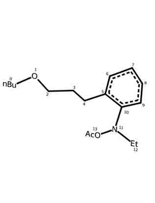 CCCCOCCCc1ccccc1N(CC)OC(C)=O